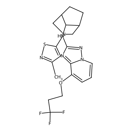 Cc1cc(N2CC3CCC(C2)C3Nc2nc3c(OCCC(F)(F)F)cccn3n2)sn1